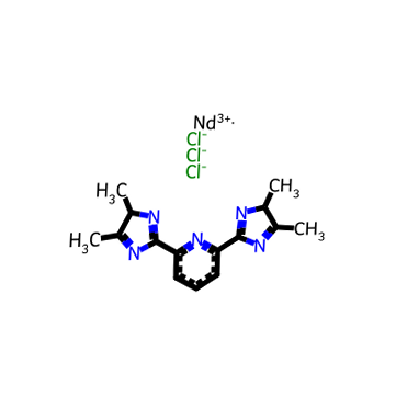 CC1=NC(c2cccc(C3=NC(C)C(C)=N3)n2)=NC1C.[Cl-].[Cl-].[Cl-].[Nd+3]